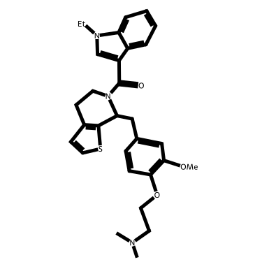 CCn1cc(C(=O)N2CCc3ccsc3C2Cc2ccc(OCCN(C)C)c(OC)c2)c2ccccc21